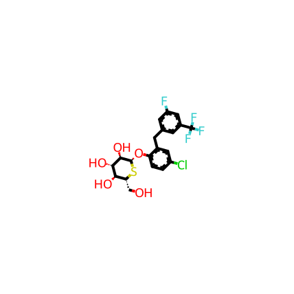 OC[C@H]1S[C@@H](Oc2ccc(Cl)cc2Cc2cc(F)cc(C(F)(F)F)c2)[C@H](O)[C@@H](O)[C@@H]1O